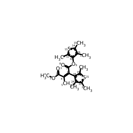 COC(=O)/C(C)=C(\C(=O)Oc1c(C)sc(C)c1C)c1c(C)sc(C)c1C